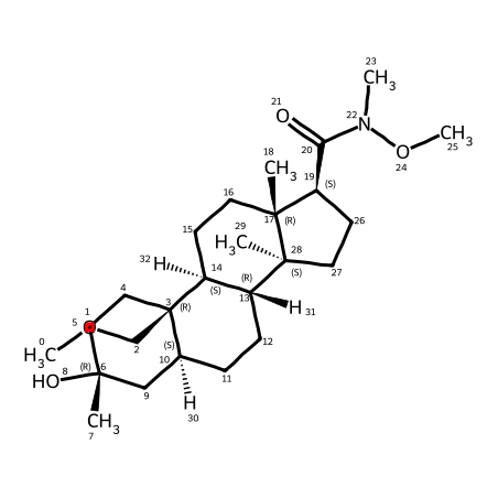 COC[C@]12CC[C@@](C)(O)C[C@@H]1CC[C@@H]1[C@@H]2CC[C@]2(C)[C@@H](C(=O)N(C)OC)CC[C@@]12C